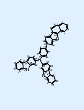 c1ccc2c(c1)ccc1c3ccc(-c4ccc(N(c5ccc6c(c5)oc5ccccc56)c5ccc6c(c5)oc5ccccc56)cc4)cc3oc21